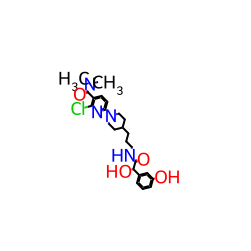 CN(C)C(=O)c1ccc(N2CCC(CCCNC(=O)C(O)c3cccc(O)c3)CC2)nc1Cl